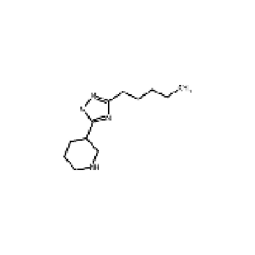 CCCCCc1noc(C2CCCNC2)n1